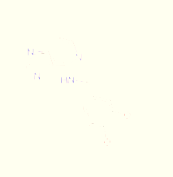 COc1ccc(CNc2nccc3c2ncn3C)cc1OC